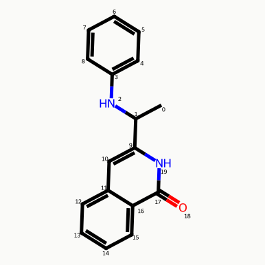 CC(Nc1ccccc1)c1cc2ccccc2c(=O)[nH]1